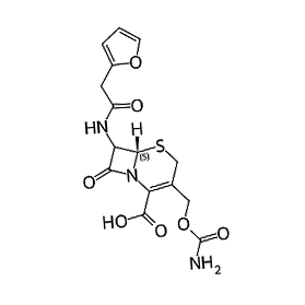 NC(=O)OCC1=C(C(=O)O)N2C(=O)C(NC(=O)Cc3ccco3)[C@@H]2SC1